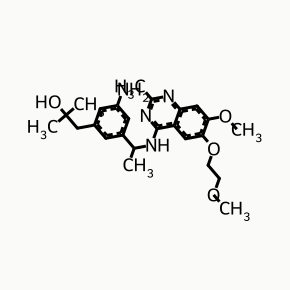 COCCOc1cc2c(NC(C)c3cc(N)cc(CC(C)(C)O)c3)nc(C)nc2cc1OC